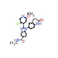 CNC(=O)c1ccc2c(c1)nc(-c1cc(OC)ncc1F)n2-c1ccc2c(c1)CCC(=O)N2